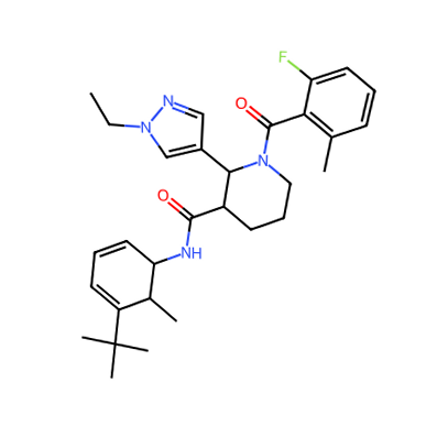 CCn1cc(C2C(C(=O)NC3C=CC=C(C(C)(C)C)C3C)CCCN2C(=O)c2c(C)cccc2F)cn1